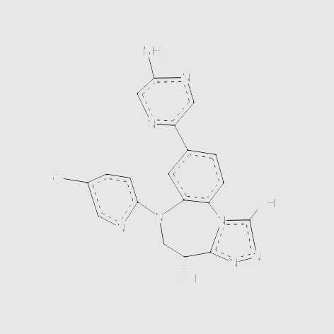 Cc1nnc2n1-c1ccc(-c3cnc(N)cn3)cc1N(c1ccc(Cl)cn1)C[C@H]2C